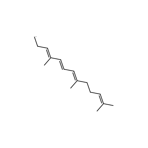 [CH2]C/C=C(C)/C=C/C=C(\C)CCC=C(C)C